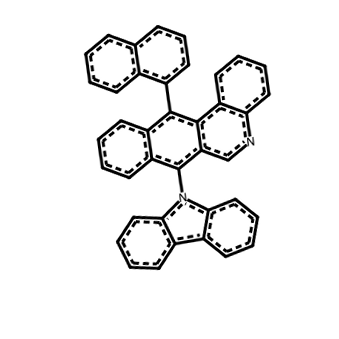 c1ccc2c(-c3c4ccccc4c(-n4c5ccccc5c5ccccc54)c4cnc5ccccc5c34)cccc2c1